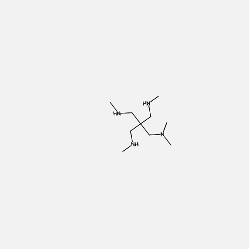 CNCC(CNC)(CNC)CN(C)C